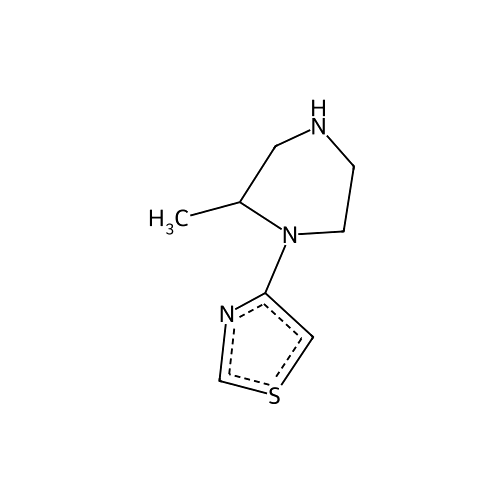 CC1CNCCN1c1cscn1